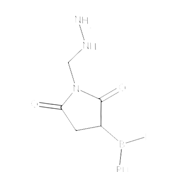 NNCN1C(=O)CC(B(P)I)C1=O